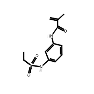 C=C(C)C(=O)Nc1cccc(NS(=O)(=O)CC)c1